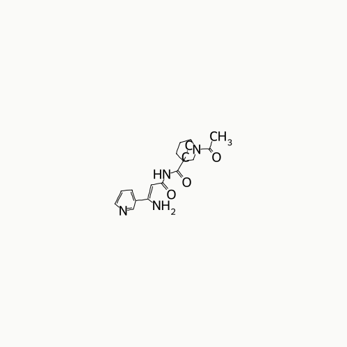 CC(=O)N1CC2(C(=O)NC(=O)C=C(N)c3cccnc3)CCC1CC2